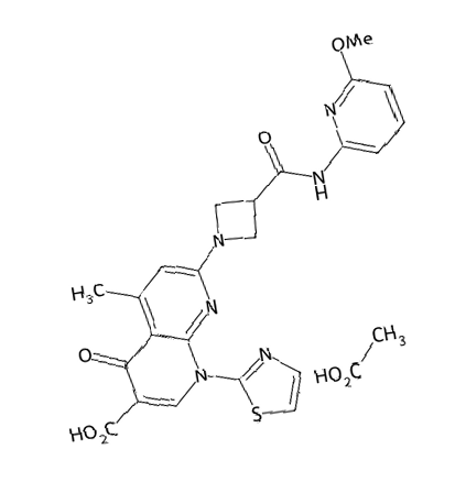 CC(=O)O.COc1cccc(NC(=O)C2CN(c3cc(C)c4c(=O)c(C(=O)O)cn(-c5nccs5)c4n3)C2)n1